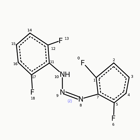 Fc1cccc(F)c1/N=N\Nc1c(F)cccc1F